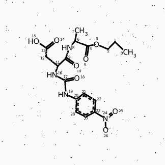 CCCOC(=O)C(C)NC(=O)C(CC(=O)O)NC(=O)Nc1ccc([N+](=O)[O-])cc1